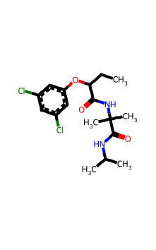 CCC(Oc1cc(Cl)cc(Cl)c1)C(=O)NC(C)(C)C(=O)NC(C)C